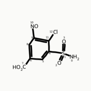 NS(=O)(=O)c1cc(C(=O)O)cc(N=O)c1Cl